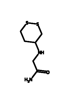 NC(=O)CNC1CCSSC1